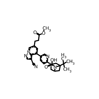 COC(=O)CCc1cc(-c2ccc(N3CC4CC(C(C)(C)C)(C3)N4C(=O)O)nc2)c2c(C#N)cnn2c1